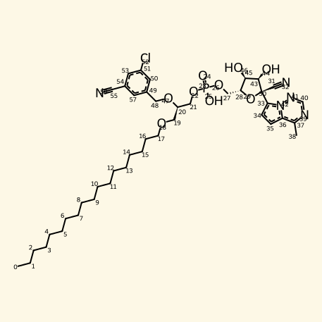 CCCCCCCCCCCCCCCCCCOC[C@H](COP(=O)(O)OC[C@H]1O[C@@](C#N)(c2ccc3c(C)ncnn23)[C@H](O)[C@@H]1O)OCc1cc(Cl)cc(C#N)c1